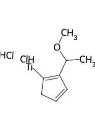 COC(C)C1=[C]([Ti])CC=C1.Cl.Cl